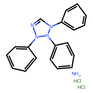 C1=NN(c2ccccc2)N(c2ccccc2)N1c1ccccc1.Cl.Cl.N